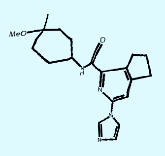 COC1(C)CCC(NC(=O)c2nc(-n3ccnc3)cc3c2CCC3)CC1